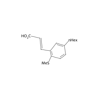 CCCCCCc1ccc(SC)c(C=CC(=O)O)c1